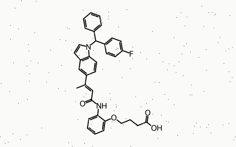 CC(=CC(=O)Nc1ccccc1OCCCC(=O)O)c1ccc2c(ccn2C(c2ccccc2)c2ccc(F)cc2)c1